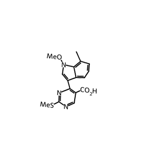 COn1cc(-c2nc(SC)ncc2C(=O)O)c2cccc(C)c21